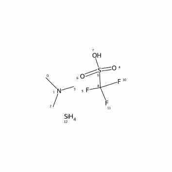 CN(C)C.O=S(=O)(O)C(F)(F)F.[SiH4]